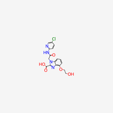 O=C(Cn1c(C(=O)O)nc2c(OCCO)cccc21)Nc1ccc(Cl)cn1